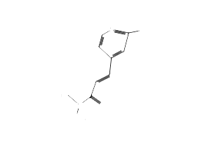 CN(C)C(=O)C=Cc1ccnc(Cl)c1